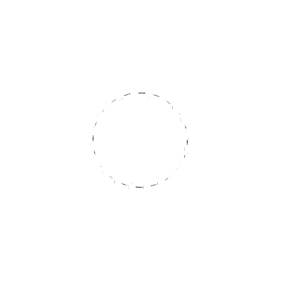 C1CCCCCCSSSSSSSCCCCCC1